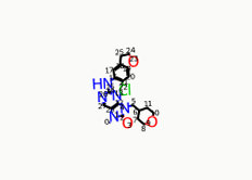 Cn1c(=O)n(CC2CCOCC2)c2nc(Nc3cc4c(cc3Cl)OCC4)ncc21